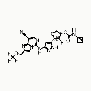 N#Cc1cnc(Nc2cc([C@@H]3OC[C@H](OC(=O)NC45CC(C4)C5)[C@H]3F)[nH]n2)n2cc(COC(F)(F)F)nc12